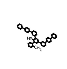 Cc1ccccc1-c1cc(-c2cccc(-c3ccc(-c4ccccc4)cc3)c2)cc(-c2cccc(-c3ccc(-c4ccccc4)cc3)c2)c1S